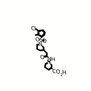 Cc1c(Cl)cccc1S(=O)(=O)N1CCCC(CC(=O)NN2CCCC(C(=O)O)C2)C1